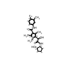 Cc1cc(NC(=O)c2c(C)c(C(O)C(=O)N[C@@H]3CCC[C@@H]3O)n(C)c2C)ccc1F